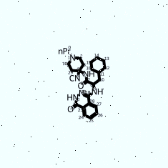 CCCN1CCC(C#N)(NC(=O)C(CC2CCCCC2)Nc2n[nH]c(=O)c3ccccc23)CC1